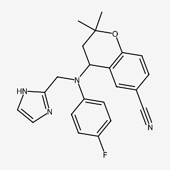 CC1(C)CC(N(Cc2ncc[nH]2)c2ccc(F)cc2)c2cc(C#N)ccc2O1